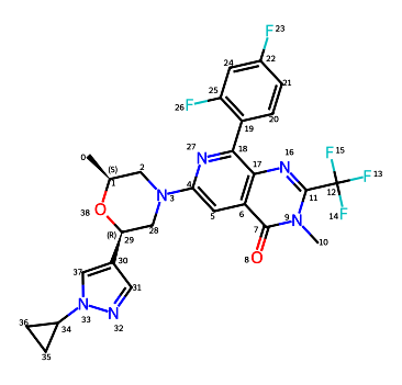 C[C@H]1CN(c2cc3c(=O)n(C)c(C(F)(F)F)nc3c(-c3ccc(F)cc3F)n2)C[C@@H](c2cnn(C3CC3)c2)O1